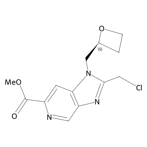 COC(=O)c1cc2c(cn1)nc(CCl)n2C[C@@H]1CCO1